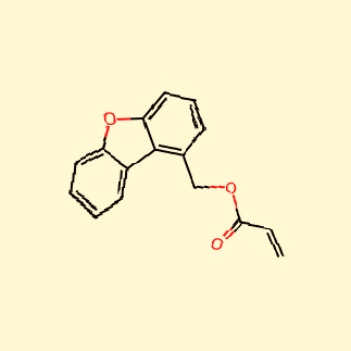 C=CC(=O)OCc1cccc2oc3ccccc3c12